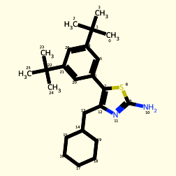 CC(C)(C)c1cc(-c2sc(N)nc2CC2CCCCC2)cc(C(C)(C)C)c1